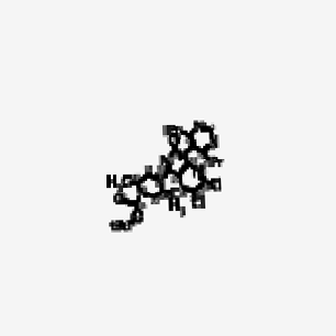 CC(C)c1ncnc(C(C)C)c1-n1c(=O)nc(N2C[C@H](C)N(C(=O)OC(C)(C)C)C[C@@H]2C)c2cc(Cl)c(Cl)nc21